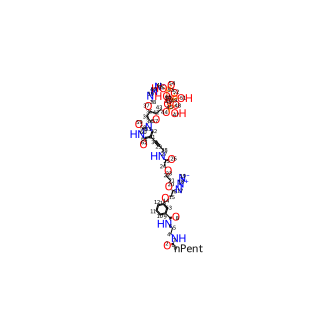 CCCCCC(=O)NCCNC(=O)c1cccc(OCC(N=[N+]=[N-])OCCOCC(=O)NCC#Cc2cn(C3CC(OCN=[N+]=[N-])C(COP(=O)(O)OP(=O)(O)OP(=O)(O)O)O3)c(=O)[nH]c2=O)c1